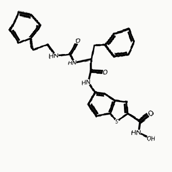 O=C(NCCc1ccccc1)NC(Cc1ccccc1)C(=O)Nc1ccc2sc(C(=O)NO)cc2c1